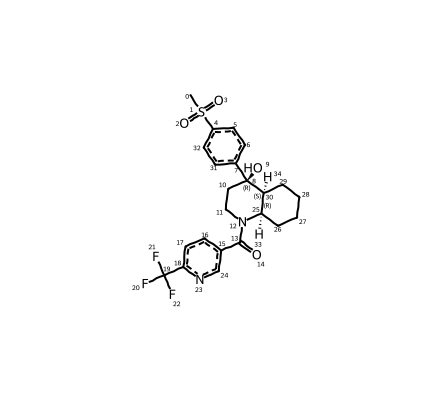 CS(=O)(=O)c1ccc([C@@]2(O)CCN(C(=O)c3ccc(C(F)(F)F)nc3)[C@@H]3CCCC[C@@H]32)cc1